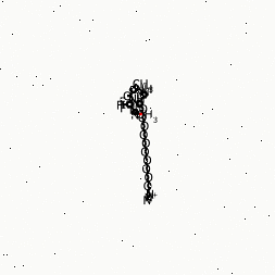 Cc1cn(-c2cc(NC(=O)c3ccc(C)c(Nc4nccc(-c5cncc(OCCOCCOCCOCCOCCOCCOCCOCCOCCOCCN=[N+]=[N-])c5)n4)c3)cc(C(F)(F)F)c2)cn1